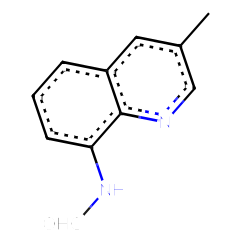 Cc1cnc2c(NC=O)cccc2c1